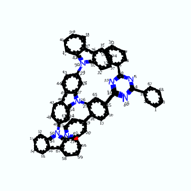 c1ccc(-c2nc(-c3ccccc3)nc(-c3ccc(-c4ccncc4)c(-n4c5cc(-n6c7ccccc7c7ccccc76)ccc5c5ccc(-n6c7ccccc7c7ccccc76)cc54)c3)n2)cc1